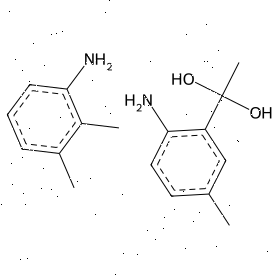 Cc1ccc(N)c(C(C)(O)O)c1.Cc1cccc(N)c1C